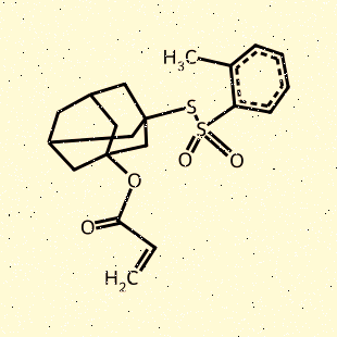 C=CC(=O)OC12CC3CC(C1)CC(SS(=O)(=O)c1ccccc1C)(C3)C2